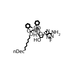 CCCCCCCCCCCCCCCCCCOC(=O)[C@H](Cc1ccccc1)N[P@](=O)(OC[C@@]1(C)O[C@@H](n2cnc3c(N)nc(F)nc32)C[C@@H]1O)Oc1ccccc1